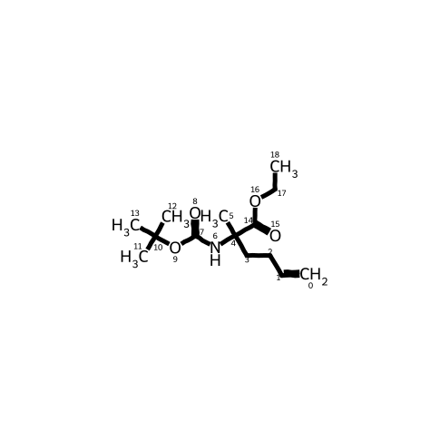 C=CCCC(C)(NC(=O)OC(C)(C)C)C(=O)OCC